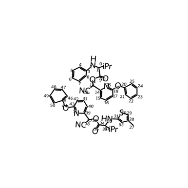 CC(C)C(Nc1ccccc1)C(=O)OC(C#N)c1cccc(Oc2ccccc2)n1.Cc1csc(NC(C(=O)OC(C#N)c2cccc(Oc3ccccc3)n2)C(C)C)c1